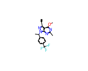 C#Cc1nn(C(C)c2ccc(C(F)(F)F)cc2)c2nc(C)nc(OC)c12